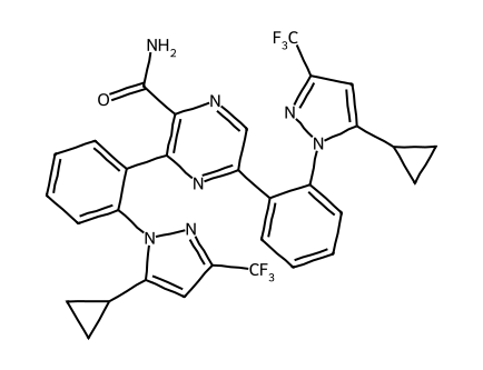 NC(=O)c1ncc(-c2ccccc2-n2nc(C(F)(F)F)cc2C2CC2)nc1-c1ccccc1-n1nc(C(F)(F)F)cc1C1CC1